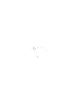 CCCOC(OCCOCc1ccccc1)N1C=C(c2nn(C3CCCCO3)c3ccc(O[Si](C)(C)C(C)(C)C)cc23)SC1